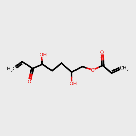 C=CC(=O)OCC(O)CCC(O)C(=O)C=C